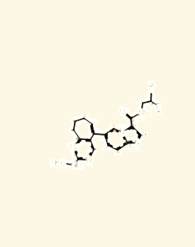 CNc1ncc2c(n1)CCCC=C2c1ccc2ncc(C(=O)NCC(F)F)n2c1